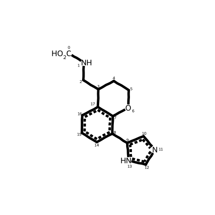 O=C(O)NCC1CCOc2c(-c3cnc[nH]3)cccc21